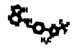 Cn1cc(C(F)(F)F)nc1-c1ccc(CNc2ncnc3nc[nH]c23)cc1